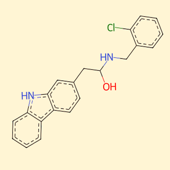 OC(Cc1ccc2c(c1)[nH]c1ccccc12)NCc1ccccc1Cl